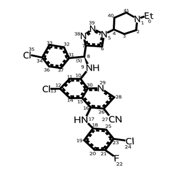 CCN1CCC(n2cc([C@@H](Nc3cc(Cl)cc4c(Nc5ccc(F)c(Cl)c5)c(C#N)cnc34)c3ccc(Cl)cc3)nn2)CC1